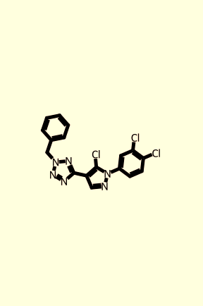 Clc1ccc(-n2ncc(-c3nnn(Cc4ccccc4)n3)c2Cl)cc1Cl